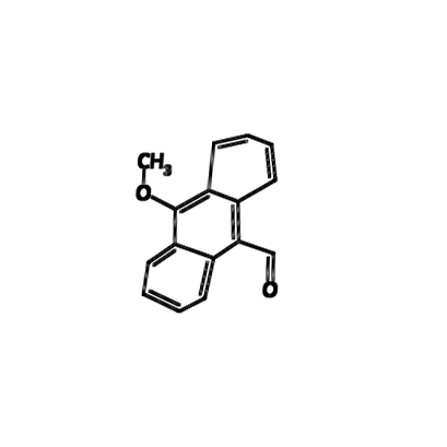 COc1c2ccccc2c(C=O)c2ccccc12